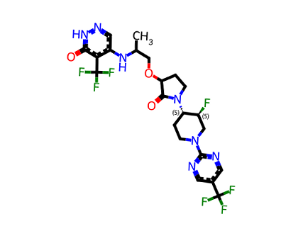 CC(COC1CCN([C@H]2CCN(c3ncc(C(F)(F)F)cn3)C[C@@H]2F)C1=O)Nc1cn[nH]c(=O)c1C(F)(F)F